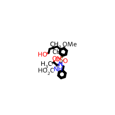 COc1ccc(S(=O)(=O)N(Cc2ccccc2)[C@H](NC(=O)O)[C@@H](C)O)cc1CC(C)(C)CCO